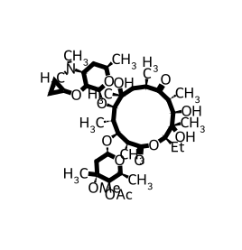 CC[C@H]1OC(=O)[C@H](C)[C@@H](O[C@H]2C[C@@](C)(OC)[C@@H](OC(C)=O)[C@H](C)O2)[C@H](C)[C@@H](O[C@@H]2O[C@H](C)C[C@H](N(C)C)C2OC2CC2)[C@](C)(O)C[C@@H](C)C(=O)[C@H](C)[C@@H](O)[C@]1(C)O